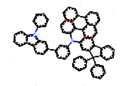 c1ccc(-c2cccc3cccc(-c4ccccc4N(c4cccc(-c5ccc6c7ccccc7n(-c7ccccc7)c6c5)c4)c4ccc5c(c4)C(c4ccccc4)(c4ccccc4)c4ccccc4-5)c23)cc1